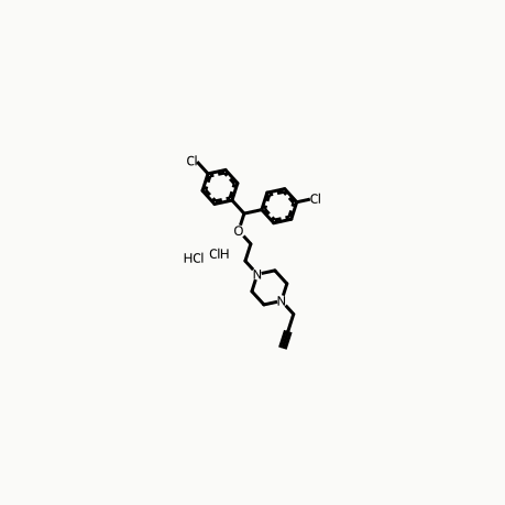 C#CCN1CCN(CCOC(c2ccc(Cl)cc2)c2ccc(Cl)cc2)CC1.Cl.Cl